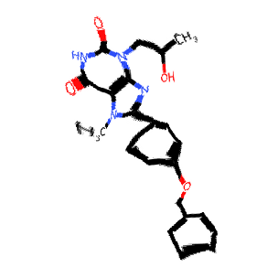 CC(O)Cn1c(=O)[nH]c(=O)c2c1nc(-c1ccc(OCc3ccccc3)cc1)n2C